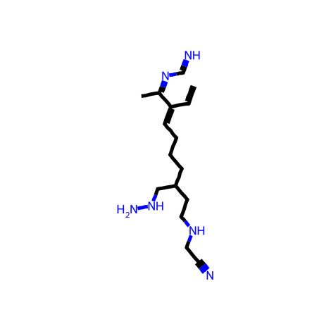 C=CC(=C\CCCC(CCNCC#N)CNN)/C(C)=N\C=N